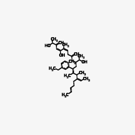 C=C(C/C=C(C)\C(O)=C/C(=C)[C@H](C)O)CC(C/C(=C(/C)C(C)/C(=C\C)CC/C=C/C)c1cc(CC)ccc1C)C(C)O